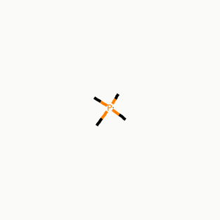 C[P](C)(C)C